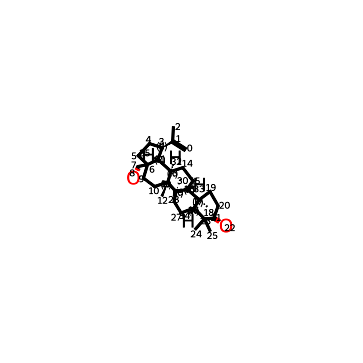 C=C(C)[C@@H]1CCC2(C=O)CC[C@]3(C)[C@H](CC[C@@H]4[C@@]5(C)CCC(=O)C(C)(C)[C@@H]5CC[C@]43C)[C@@H]12